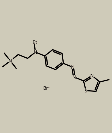 CCN(CC[N+](C)(C)C)c1ccc(N=Nc2nc(C)cs2)cc1.[Br-]